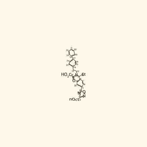 CCCCCCCCc1noc(-c2ccc(C(CC)N(CCc3ccc(-c4ccccc4)cc3)C(=O)C(=O)O)cc2)n1